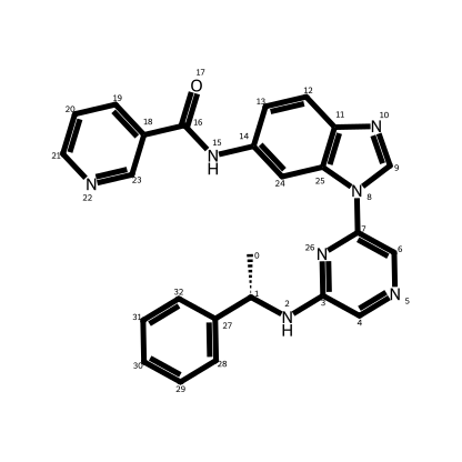 C[C@H](Nc1cncc(-n2cnc3ccc(NC(=O)c4cccnc4)cc32)n1)c1ccccc1